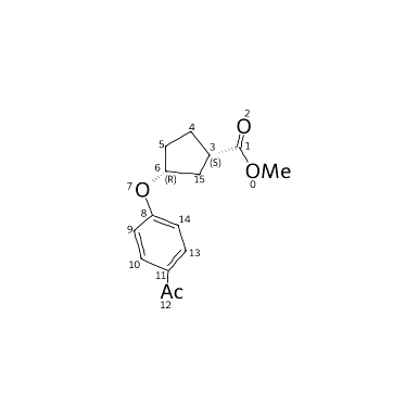 COC(=O)[C@H]1CC[C@@H](Oc2ccc(C(C)=O)cc2)C1